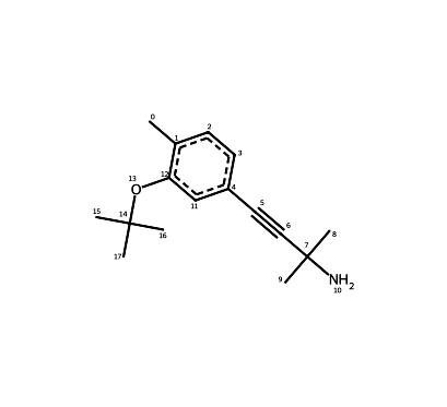 Cc1ccc(C#CC(C)(C)N)cc1OC(C)(C)C